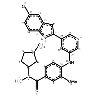 COc1cc(C(=O)N(C)C2CCN(C)C2)ccc1Nc1cncc(-c2cc3cc(Cl)ccc3[nH]2)n1